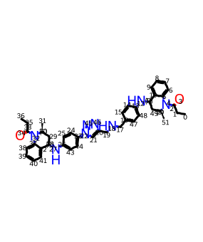 CCC(=O)N1c2ccccc2[C@H](Nc2ccc(CNCc3cn(-c4ccc(N[C@@H]5C[C@H](C)N(C(=O)CC)c6ccccc65)cc4)nn3)cc2)C[C@@H]1C